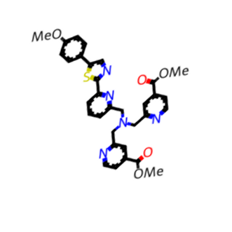 COC(=O)c1ccnc(CN(Cc2cc(C(=O)OC)ccn2)Cc2cccc(-c3ncc(-c4ccc(OC)cc4)s3)n2)c1